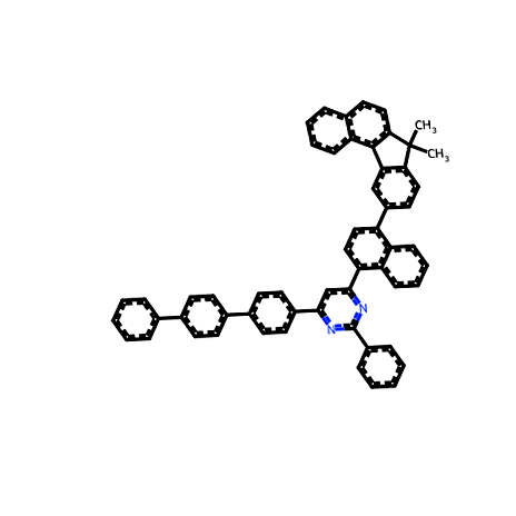 CC1(C)c2ccc(-c3ccc(-c4cc(-c5ccc(-c6ccc(-c7ccccc7)cc6)cc5)nc(-c5ccccc5)n4)c4ccccc34)cc2-c2c1ccc1ccccc21